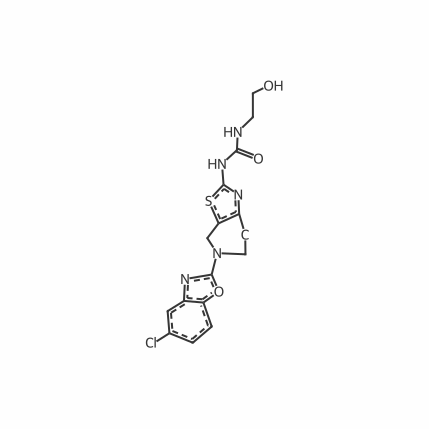 O=C(NCCO)Nc1nc2c(s1)CN(c1nc3cc(Cl)ccc3o1)CC2